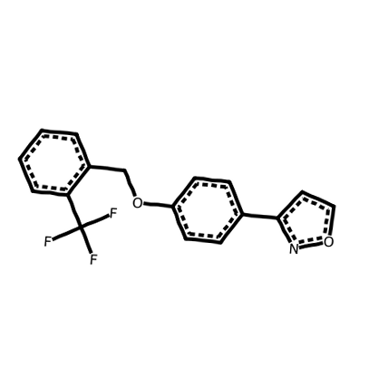 FC(F)(F)c1ccccc1COc1ccc(-c2ccon2)cc1